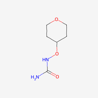 NC(=O)NOC1CCOCC1